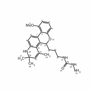 COc1cccc2c1-c1ccc3c(c1C(CCCNC(=O)NN)O2)C(C)=CC(C)(C)N3